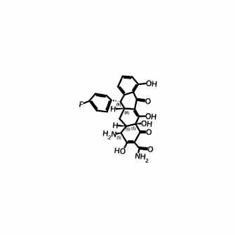 NC(=O)C1=C(O)[C@@H](N)[C@@H]2C[C@H]3C(=C(O)[C@]2(O)C1=O)C(=O)c1c(O)cccc1[C@H]3c1ccc(F)cc1